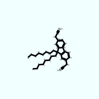 CCCCCCCCC1(CCCCCCCC)c2cc(CC#N)ccc2-c2ccc(CC#N)cc21